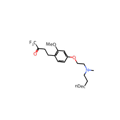 CCCCCCCCCCCCN(C)CCOc1ccc(CCC(=O)C(F)(F)F)c(OC)c1